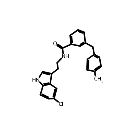 Cc1ccc(Cc2cccc(C(=O)NCCc3c[nH]c4ccc(Cl)cc34)c2)cc1